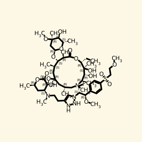 CC[C@H]1OC(=O)[C@H](C)[C@@H](O[C@H]2C[C@@](C)(OC)[C@@H](O)[C@H](C)O2)[C@H](C)[C@@H](O[C@@H]2O[C@H](C)C[C@H](N(C)CCC3=CN([C@H](CF)[C@H](OC)c4ccc(S(=O)(=O)CCOC)cc4)NN3)[C@H]2O)[C@](C)(O)C[C@@H](C)CN(C)[C@H](C)[C@@H](O)[C@]1(C)O